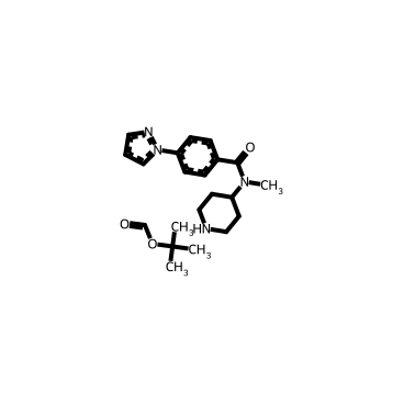 CC(C)(C)OC=O.CN(C(=O)c1ccc(-n2cccn2)cc1)C1CCNCC1